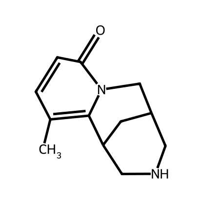 Cc1ccc(=O)n2c1C1CNCC(C1)C2